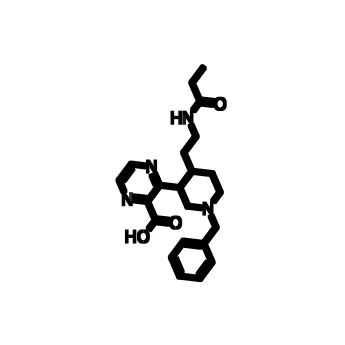 CCC(=O)NCCC1CCN(Cc2ccccc2)CC1c1nccnc1C(=O)O